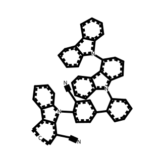 N#Cc1cc(-c2ccccc2-n2c3ccccc3c3c(-n4c5ccccc5c5ccccc54)cccc32)ccc1-n1c2ccccc2c2cccc(C#N)c21